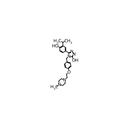 CC(C)c1cc(-c2nnc(O)n2Cc2ccc(OCCN3CCN(C)CC3)cc2)ccc1O